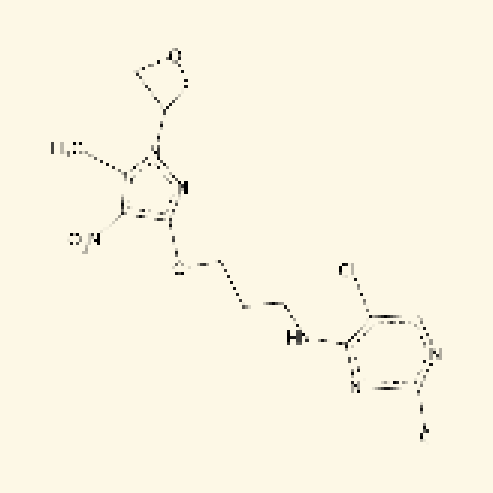 Cc1c([N+](=O)[O-])c(OCCCNc2nc(Cl)ncc2Cl)nn1C1COC1